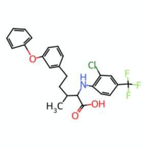 CC(CCc1cccc(Oc2ccccc2)c1)C(Nc1ccc(C(F)(F)F)cc1Cl)C(=O)O